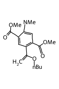 C=C(OCCCC)c1cc(C(=O)OC)c(NC)cc1C(=O)OC